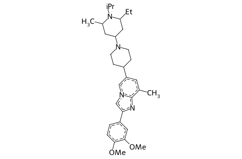 CCC1CC(N2CCC(c3cc(C)c4nc(-c5ccc(OC)c(OC)c5)cn4c3)CC2)CC(C)N1C(C)C